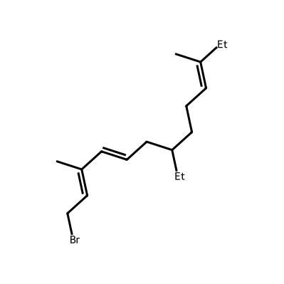 CCC(C)=CCCC(CC)CC=CC(C)=CCBr